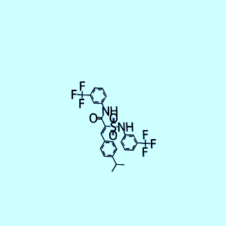 CC(C)c1ccc(/C=C(/C(=O)Nc2cccc(C(F)(F)F)c2)S(=O)(=O)Nc2cccc(C(F)(F)F)c2)cc1